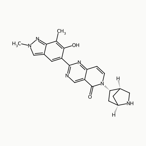 Cc1c(O)c(-c2ncc3c(=O)n([C@H]4C[C@H]5C[C@@H]4CN5)ccc3n2)cc2cn(C)nc12